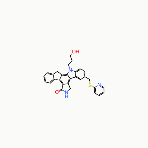 O=C1NCc2c1c1c(c3c2c2cc(CSc4ccccn4)ccc2n3CCCO)Cc2ccccc2-1